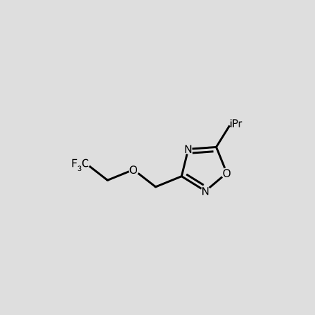 CC(C)c1nc(COCC(F)(F)F)no1